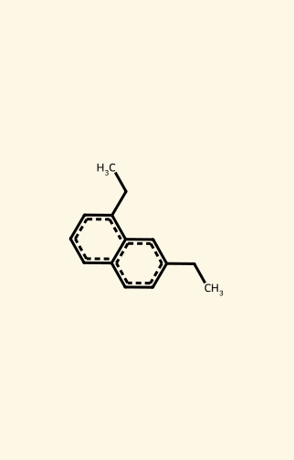 CCc1ccc2cccc(CC)c2c1